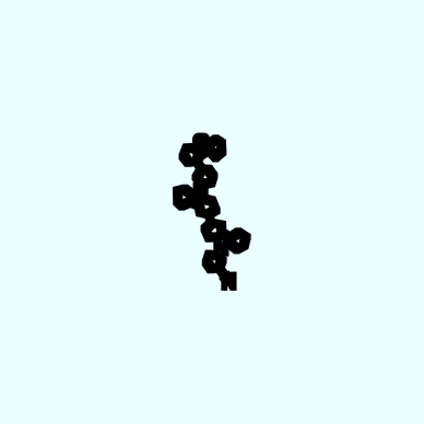 N#Cc1cccc(-n2c3ccccc3c3cc(-c4ccc5c(c4)c4ccccc4n5-c4cccc(-c5cccc6oc7ccccc7c56)c4)ccc32)c1